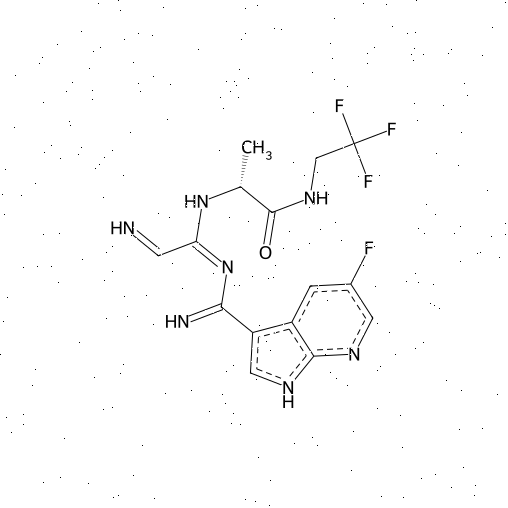 C[C@@H](N/C(C=N)=N/C(=N)c1c[nH]c2ncc(F)cc12)C(=O)NCC(F)(F)F